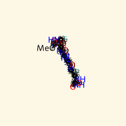 COC1CN(S(=O)(=O)Nc2ccc(F)c(Oc3ccc4ncn(-c5cnc(N6CCN(C(=O)CN7CCC(c8ccc(N[C@H]9CCC(=O)NC9=O)cc8F)CC7)CC6)nc5)c(=O)c4c3)c2C#N)C1